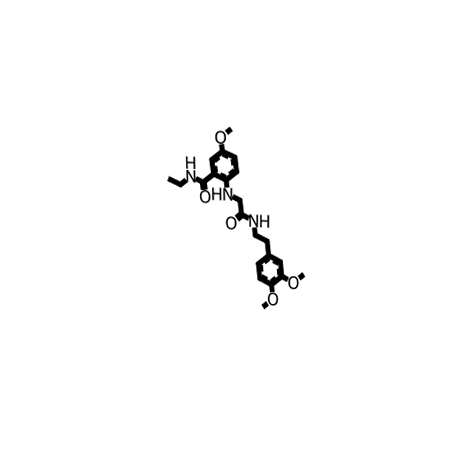 CCNC(=O)c1cc(OC)ccc1NCC(=O)NCCc1ccc(OC)c(OC)c1